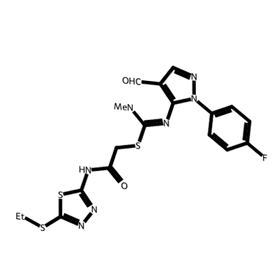 CCSc1nnc(NC(=O)CS/C(=N/c2c(C=O)cnn2-c2ccc(F)cc2)NC)s1